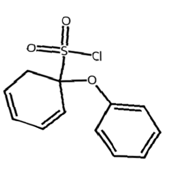 O=S(=O)(Cl)C1(Oc2ccccc2)C=CC=CC1